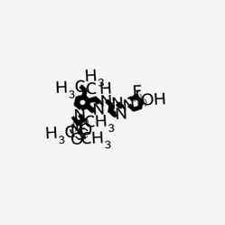 CC(C)c1ccc(N2C[C@H](N(C)S(C)(=O)=O)[C@H]2C)c2cnc(Nc3ccnc(N4CC[C@H](O)[C@H](F)C4)n3)cc12